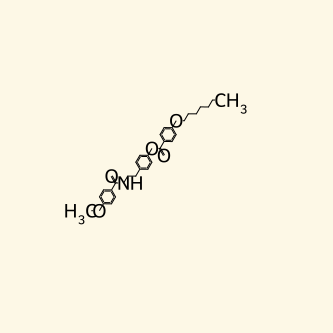 CCCCCCCOc1ccc(C(=O)Oc2ccc(CCNC(=O)c3ccc(OC)cc3)cc2)cc1